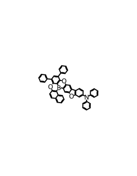 c1ccc(-c2cc(-c3ccccc3)c3c4c2Oc2cc5c(cc2B4c2c(ccc4ccccc24)O3)oc2cc(N(c3ccccc3)c3ccccc3)ccc25)cc1